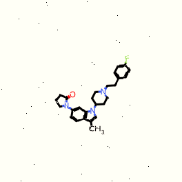 Cc1cn(C2CCN(CCc3ccc(F)cc3)CC2)c2cc(N3CCCC3=O)ccc12